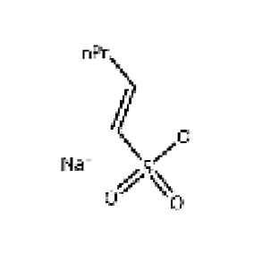 CCCC=CS(=O)(=O)[O-].[Na+]